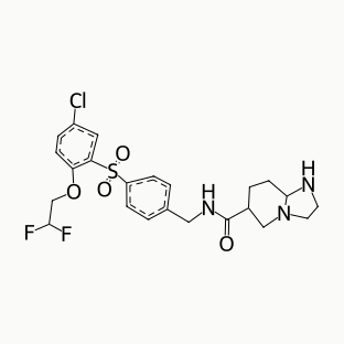 O=C(NCc1ccc(S(=O)(=O)c2cc(Cl)ccc2OCC(F)F)cc1)C1CCC2NCCN2C1